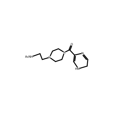 CC(=O)NCCN1CCN(C(=O)C2=CNCC=N2)CC1